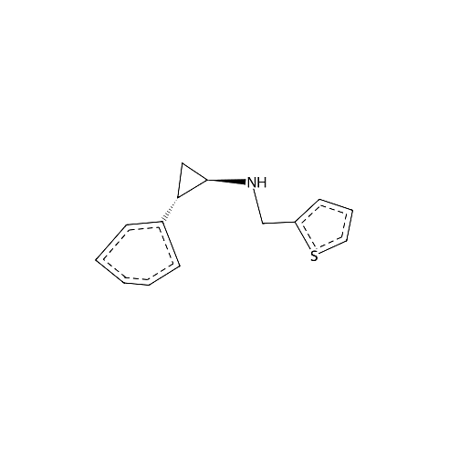 c1ccc([C@@H]2C[C@H]2NCc2cccs2)cc1